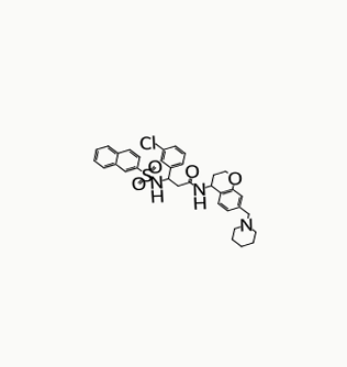 O=C(CC(NS(=O)(=O)c1ccc2ccccc2c1)c1cccc(Cl)c1)NC1CCOc2cc(CN3CCCCC3)ccc21